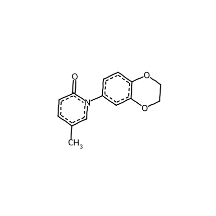 Cc1ccc(=O)n(-c2ccc3c(c2)OCCO3)c1